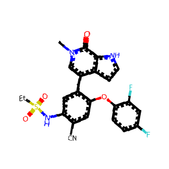 CCS(=O)(=O)Nc1cc(-c2cn(C)c(=O)c3[nH]ccc23)c(Oc2ccc(F)cc2F)cc1C#N